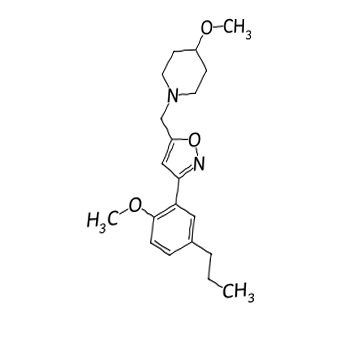 CCCc1ccc(OC)c(-c2cc(CN3CCC(OC)CC3)on2)c1